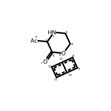 CC(=O)C1NCCOC1=O.c1cc2ccc1-2